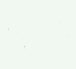 CC(C)OC(=O)OC(C)OP(=O)(OC[C@@]1(CF)OC(n2ccc(=O)[nH]c2=O)[C@](C)(O)[C@@H]1O)OC(C)OC(=O)OC(C)C